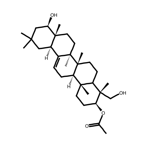 CC(=O)O[C@H]1CC[C@@]2(C)C(CC[C@]3(C)[C@@H]2CC=C2[C@H]4CC(C)(C)C[C@@H](O)[C@]4(C)CC[C@]23C)[C@]1(C)CO